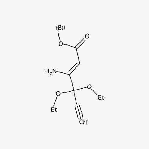 C#CC(OCC)(OCC)C(N)=CC(=O)OC(C)(C)C